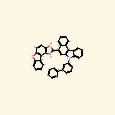 c1ccc(-c2cccc(-n3c4ccccc4c4c5ccccc5c(-c5nc6c(ccc7oc8ccccc8c76)o5)cc43)c2)cc1